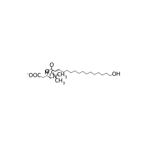 C[N+](C)(C)C[C@@H](CC(=O)[O-])OC(=O)C=CCCCCCCCCCCCCCO